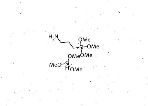 CO[SiH](OC)OC.CO[Si](CCCN)(OC)OC